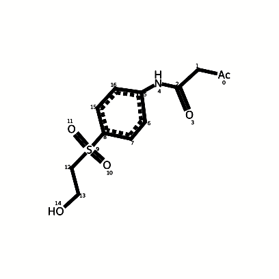 CC(=O)CC(=O)Nc1ccc(S(=O)(=O)CCO)cc1